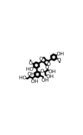 COc1cc(C2OCC3C(c4cc(OC)c(O)c(-c5cc(C(O)C(O)CO)cc(CO)c5OC(CO)C(=O)O)c4)OCC23)ccc1O